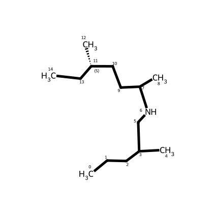 CCCC(C)CNC(C)CC[C@@H](C)CC